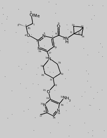 COC[C@@H](C)Oc1nc(C(=O)NC23CC(C2)C3)cc(N2CCC(COc3nc(C)cnc3N)CC2)n1